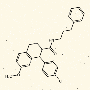 COc1ccc2c(c1)C(c1ccc(Cl)cc1)N(C(=O)NCCCc1ccccc1)CC2